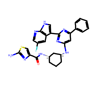 Nc1nc(C(=O)N[C@H]2CCC[C@@H](Nc3cc(-c4ccccc4)nc(-c4c[nH]c5ncc(F)cc45)n3)C2)cs1